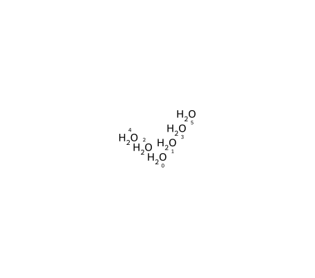 O.O.O.O.O.O